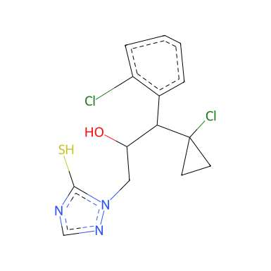 OC(Cn1ncnc1S)C(c1ccccc1Cl)C1(Cl)CC1